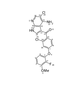 COc1cccc(Oc2ccc(C(=O)c3c[nH]c4ncc(Cl)c(N)c34)c(Cl)c2)c1F